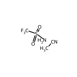 CC#N.NS(=O)(=O)C(F)(F)F